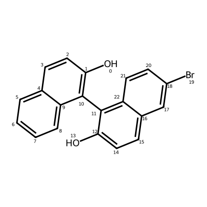 Oc1ccc2ccccc2c1-c1c(O)ccc2cc(Br)ccc12